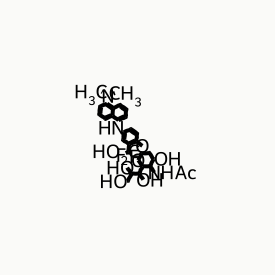 CC(=O)NC1C(O)CC(Oc2ccc(Nc3cccc4c(N(C)C)cccc34)cc2C(F)F)(C(=O)O)OC1C(O)C(O)CO